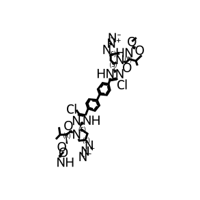 COC(=O)N[C@H](C(=O)N1C[C@@H](N=[N+]=[N-])C[C@H]1c1nc(Cl)c(-c2ccc(-c3ccc(-c4[nH]c([C@@H]5C[C@H](N=[N+]=[N-])CN5C(=O)[C@@H](COOC=N)C(C)C)nc4Cl)cc3)cc2)[nH]1)C(C)C